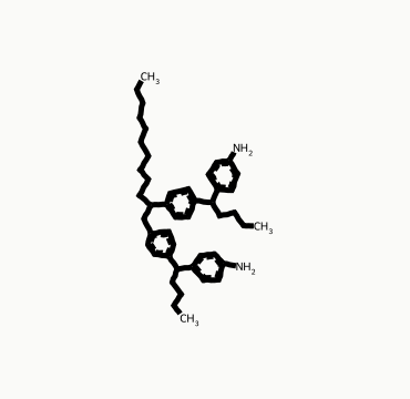 CCCCCCCCCCC(Cc1ccc(C(CCCC)c2ccc(N)cc2)cc1)c1ccc(C(CCCC)c2ccc(N)cc2)cc1